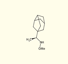 CON[C@@H](C)C12CC3CC(C1)C(C3)C2